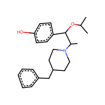 CC(C)OC(c1ccc(O)cc1)C(C)N1CCC(Cc2ccccc2)CC1